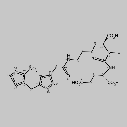 CN(C(=O)N[C@@H](CCC(=O)O)C(=O)O)[C@@H](CCCCNC(=O)Cn1cc(Cn2ccnc2[N+](=O)[O-])nn1)C(=O)O